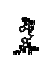 CCCc1nc2c(NC(C)(C)C)nc3c(CC(C)Cn4cnc5c(NC(C)(C)C)nc6ccccc6c54)cccc3c2s1